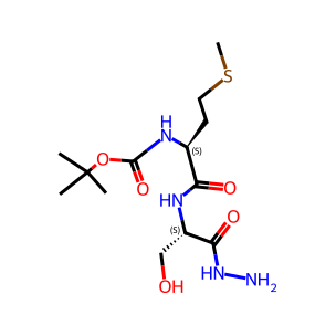 CSCC[C@H](NC(=O)OC(C)(C)C)C(=O)N[C@@H](CO)C(=O)NN